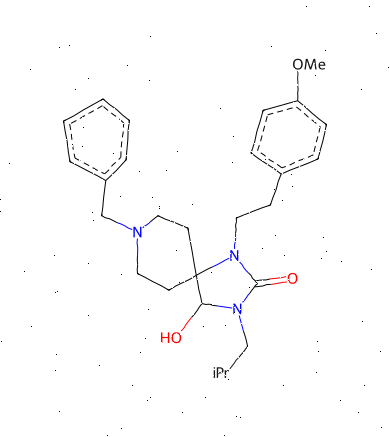 COc1ccc(CCN2C(=O)N(CC(C)C)C(O)C23CCN(Cc2ccccc2)CC3)cc1